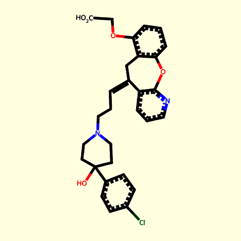 O=C(O)COc1cccc2c1C/C(=C/CCN1CCC(O)(c3ccc(Cl)cc3)CC1)c1cccnc1O2